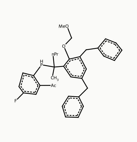 CCCC(C)(Pc1ccc(F)cc1C(C)=O)c1cc(Cc2ccccc2)cc(Cc2ccccc2)c1OCOC